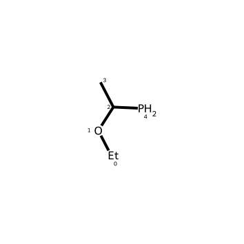 CCOC(C)P